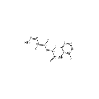 C=C(Nc1ccccc1C)/C(C)=C/C(C)=C(C)/C=C\S